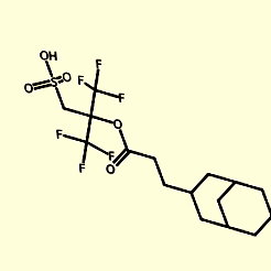 O=C(CCC1CC2CCCC(C2)C1)OC(CS(=O)(=O)O)(C(F)(F)F)C(F)(F)F